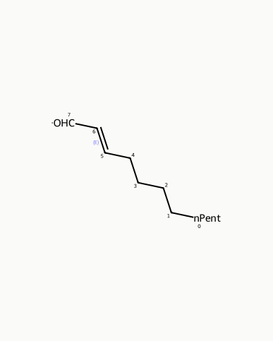 CCCCCCCCC/C=C/[C]=O